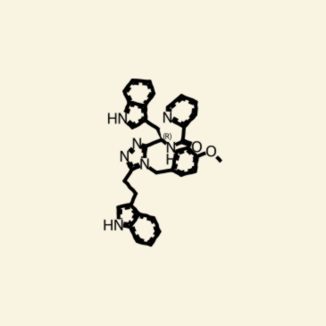 COc1ccc(Cn2c(CCc3c[nH]c4ccccc34)nnc2[C@@H](Cc2c[nH]c3ccccc23)NC(=O)c2ccccn2)cc1